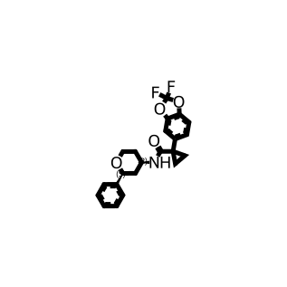 O=C(N[C@@H]1CCO[C@H](c2ccccc2)C1)C1(c2ccc3c(c2)OC(F)(F)O3)CC1